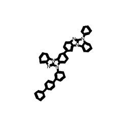 c1ccc(-c2ccc(-c3cccc(-n4c5ccc(-c6ccc7nc8n(-c9ccccc9)c9ccccc9n8c7c6)cc5n5c6ccccc6nc45)c3)cc2)cc1